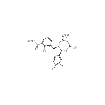 COC(=O)c1cccn(C[C@H]2CN(C(=O)O)CC(C(C)(C)C)O[C@H]2c2ccc(Cl)c(F)c2)c1=O